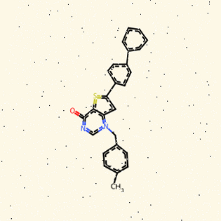 Cc1ccc(Cn2cnc(=O)c3sc(-c4ccc(-c5ccccc5)cc4)cc32)cc1